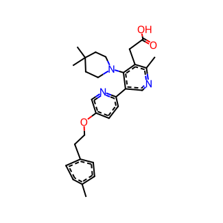 Cc1ccc(CCOc2ccc(-c3cnc(C)c(CC(=O)O)c3N3CCC(C)(C)CC3)nc2)cc1